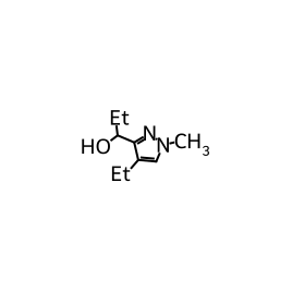 CCc1cn(C)nc1C(O)CC